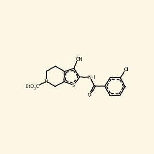 CCOC(=O)N1CCc2c(sc(NC(=O)c3cccc(Cl)c3)c2C#N)C1